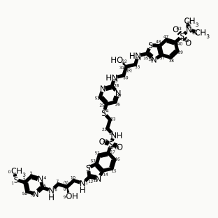 CSc1cnc(NC[C@H](O)CNc2nc3ccc(S(=O)(=O)NCCSc4cnc(NC[C@@H](O)CNc5nc6ccc(S(=O)(=O)N(C)C)cc6s5)nc4)cc3s2)nc1